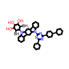 Bc1c(O)c(O)c(O)c(B)c1-n1c2ccccc2c2cc3c(cc21)c1ccccc1n3-c1nc(-c2ccccc2)nc(-c2ccc(-c3ccccc3)cc2)n1